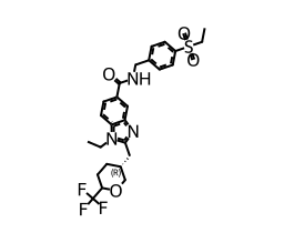 CCn1c(C[C@H]2CCC(C(F)(F)F)OC2)nc2cc(C(=O)NCc3ccc(S(=O)(=O)CC)cc3)ccc21